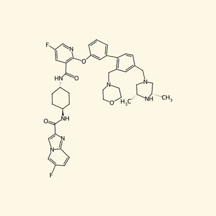 C[C@@H]1CN(Cc2ccc(-c3cccc(Oc4ncc(F)cc4C(=O)N[C@H]4CC[C@H](NC(=O)c5cn6cc(F)ccc6n5)CC4)c3)c(CN3CCOCC3)c2)C[C@H](C)N1